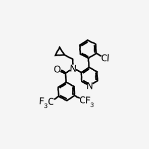 O=C(c1cc(C(F)(F)F)cc(C(F)(F)F)c1)N(CC1CC1)c1cnccc1-c1ccccc1Cl